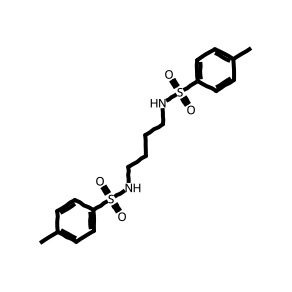 Cc1ccc(S(=O)(=O)NCCCCNS(=O)(=O)c2ccc(C)cc2)cc1